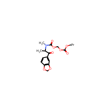 CC(C)OC(=O)OCOC(=O)N(C)C(C)C(=O)c1ccc2c(c1)OCO2